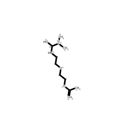 C=C(C)OCCOCCNC(O)[SH](C)C